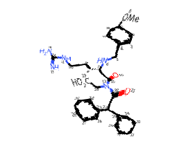 COc1ccc(CN[C@@H](CCCNC(=N)N)C(=O)N(CC(=O)O)C(=O)C(c2ccccc2)c2ccccc2)cc1